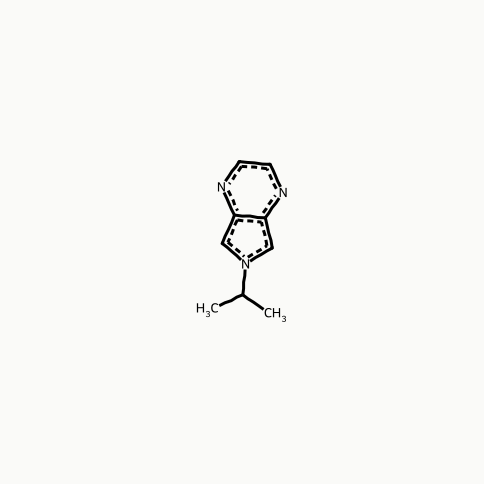 CC(C)n1cc2nccnc2c1